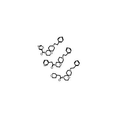 O=C(CC1CCOCC1)N1CCOC2(CCN(CCc3ccccc3)CC2)C1.O=C(Cc1cccnc1)N1CCOC2(CCN(CCc3ccccc3)CC2)C1.O=C(c1cncs1)N1CCOC2(CCN(CCc3ccccc3)CC2)C1